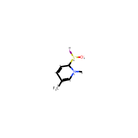 CN1C=C(C(F)(F)F)C=CC1[S+]([O-])I